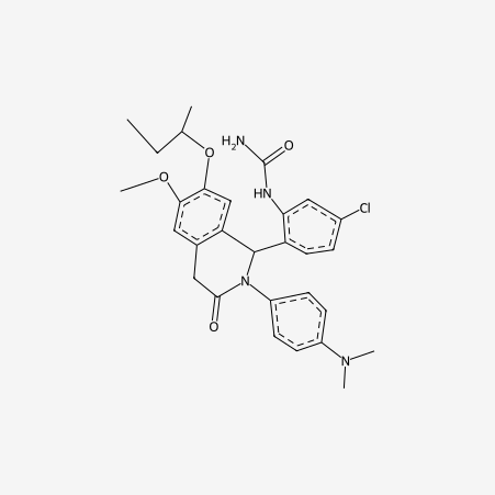 CCC(C)Oc1cc2c(cc1OC)CC(=O)N(c1ccc(N(C)C)cc1)C2c1ccc(Cl)cc1NC(N)=O